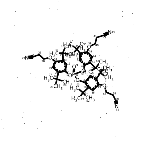 CC(C)(C)c1cc(OP(=O)(Oc2cc(C(C)(C)C)c(OCCC#N)cc2C(C)(C)C)Oc2cc(C(C)(C)C)c(OCCC#N)cc2C(C)(C)C)c(C(C)(C)C)cc1OCCC#N